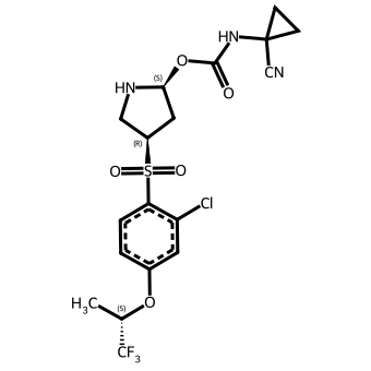 C[C@H](Oc1ccc(S(=O)(=O)[C@H]2CN[C@@H](OC(=O)NC3(C#N)CC3)C2)c(Cl)c1)C(F)(F)F